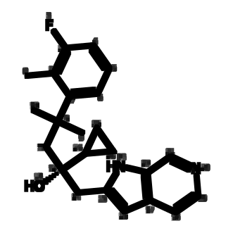 Cc1c(F)cccc1C(C)(C)C[C@](O)(Cc1cc2ccncc2[nH]1)C1CC1